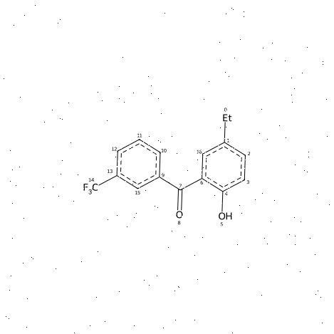 CCc1ccc(O)c(C(=O)c2cccc(C(F)(F)F)c2)c1